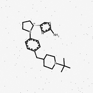 CC(C)(C)N1CCC(Cc2ccc(N3CCC[C@@H]3c3csc(N)n3)cc2)CC1